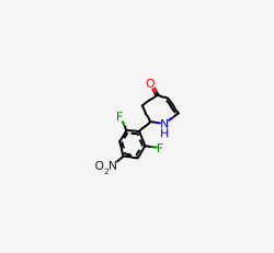 O=C1C=CNC(c2c(F)cc([N+](=O)[O-])cc2F)C1